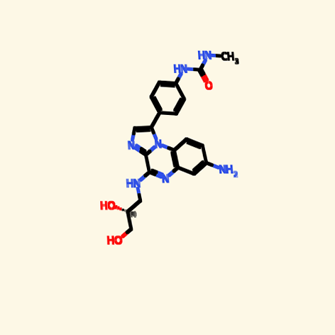 CNC(=O)Nc1ccc(-c2cnc3c(NC[C@@H](O)CO)nc4cc(N)ccc4n23)cc1